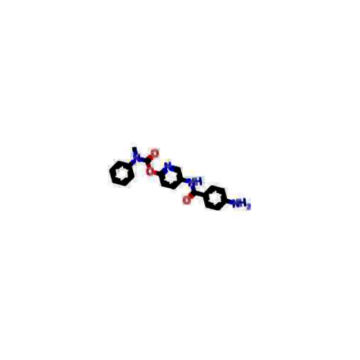 CN(C(=O)Oc1ccc(NC(=O)c2ccc(N)cc2)cn1)c1ccccc1